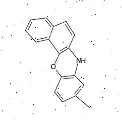 Cc1ccc2c(c1)Nc1ccc3ccccc3c1O2